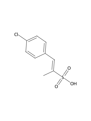 C/C(=C\c1ccc(Cl)cc1)S(=O)(=O)O